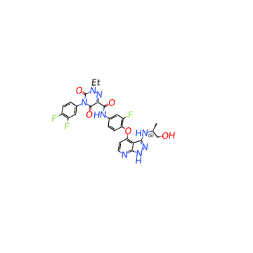 CCn1nc(C(=O)Nc2ccc(Oc3ccnc4[nH]nc(N[C@@H](C)CO)c34)c(F)c2)c(=O)n(-c2ccc(F)c(F)c2)c1=O